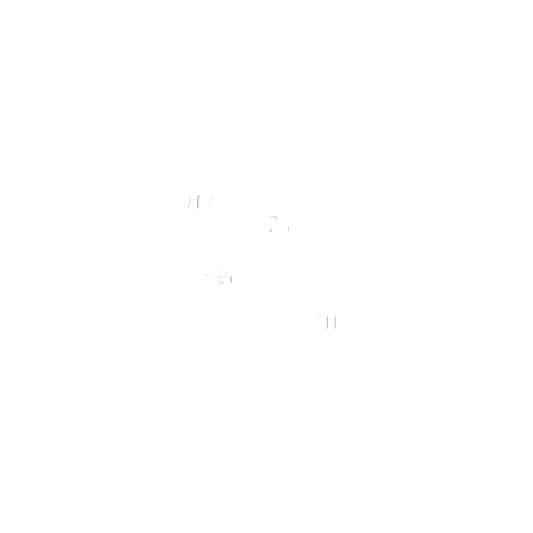 Br.CC[CH2][Zn][CH2]C